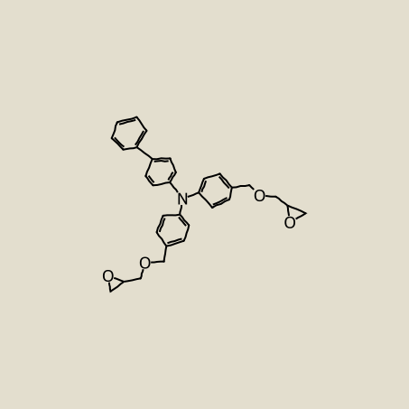 c1ccc(-c2ccc(N(c3ccc(COCC4CO4)cc3)c3ccc(COCC4CO4)cc3)cc2)cc1